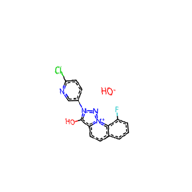 Oc1c2ccc3cccc(F)c3[n+]2nn1-c1ccc(Cl)nc1.[OH-]